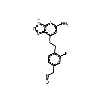 Nc1cc(SCc2ccc(CN=O)cc2F)c2nn[nH]c2n1